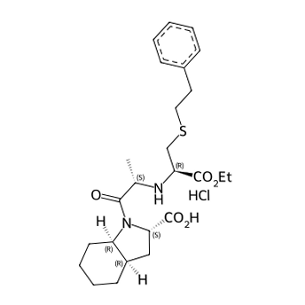 CCOC(=O)[C@H](CSCCc1ccccc1)N[C@@H](C)C(=O)N1[C@@H]2CCCC[C@@H]2C[C@H]1C(=O)O.Cl